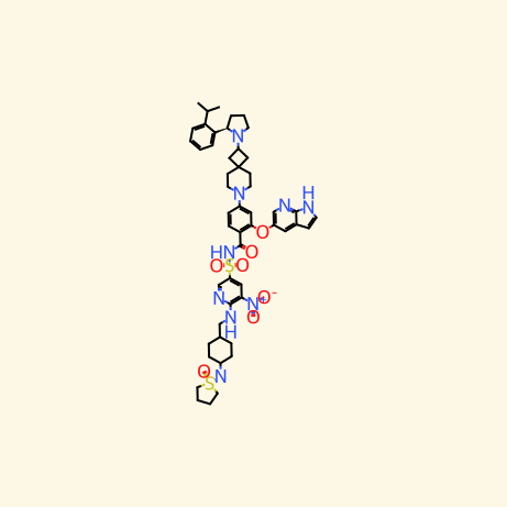 CC(C)c1ccccc1[C@H]1CCCN1C1CC2(CCN(c3ccc(C(=O)NS(=O)(=O)c4cnc(NCC5CCC(N=S6(=O)CCCC6)CC5)c([N+](=O)[O-])c4)c(Oc4cnc5[nH]ccc5c4)c3)CC2)C1